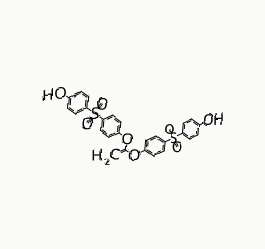 C=C(Oc1ccc(S(=O)(=O)c2ccc(O)cc2)cc1)Oc1ccc(S(=O)(=O)c2ccc(O)cc2)cc1